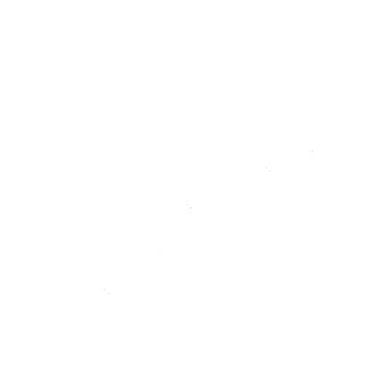 O=CNCCn1c(=O)cnn(-c2ccc(Cl)c(C(=O)NC(O)C3CCCCCC3)c2)c1=O